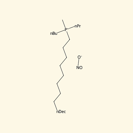 CCCCCCCCCCCCCCCCCC[P+](C)(CCC)CCCC.O=N[O-]